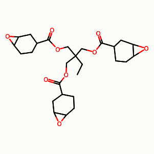 CCC(COC(=O)C1CCC2OC2C1)(COC(=O)C1CCC2OC2C1)COC(=O)C1CCC2OC2C1